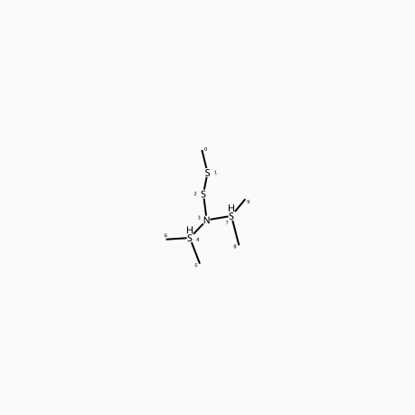 CSSN([SH](C)C)[SH](C)C